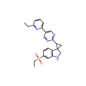 CCc1cccc(-c2cnc(C3CC34CNc3cc(S(=O)(=O)CC)ccc34)nc2)n1